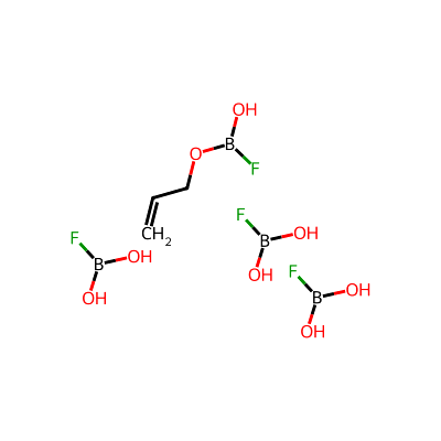 C=CCOB(O)F.OB(O)F.OB(O)F.OB(O)F